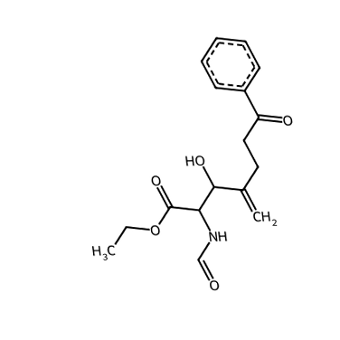 C=C(CCC(=O)c1ccccc1)C(O)C(NC=O)C(=O)OCC